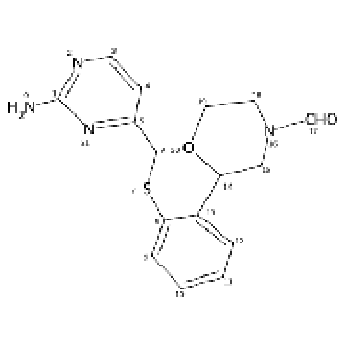 Nc1nccc(CSc2ccccc2C2CN(C=O)CCO2)n1